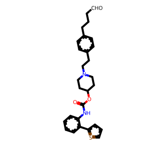 O=CCCCc1ccc(CCN2CCC(OC(=O)Nc3ccccc3-c3cccs3)CC2)cc1